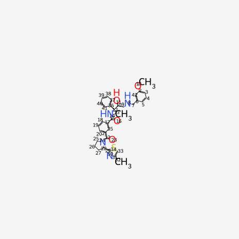 COc1cccc(CNC[C@@H](O)[C@@](C)(NC(=O)c2cccc(C(=O)N3CCC[C@@H]3c3nc(C)cs3)c2)c2ccccc2)c1